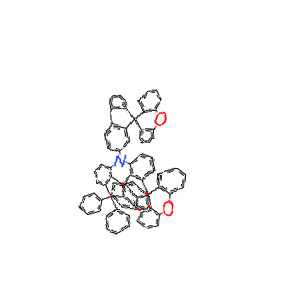 c1ccc(C2(c3ccccc3)c3ccccc3-c3c(N(c4ccc5c(c4)C4(c6ccccc6Oc6ccccc64)c4ccccc4-5)c4cccc5c4-c4ccccc4C54c5ccccc5Oc5ccccc54)cccc32)cc1